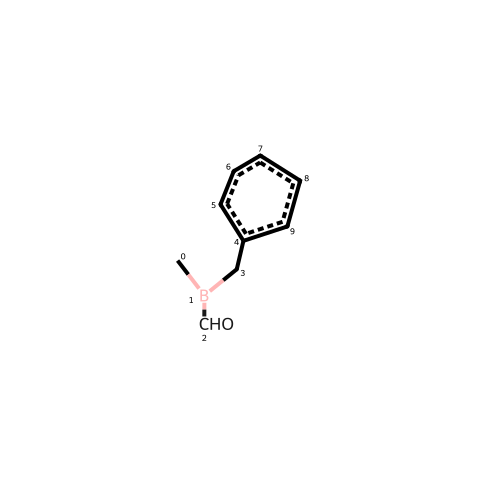 CB(C=O)Cc1ccccc1